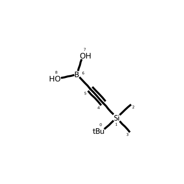 CC(C)(C)[Si](C)(C)C#CB(O)O